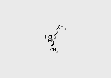 CC=CNCCCCC.Cl